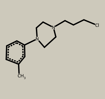 Cc1cccc(N2CCN(CCCCl)CC2)c1